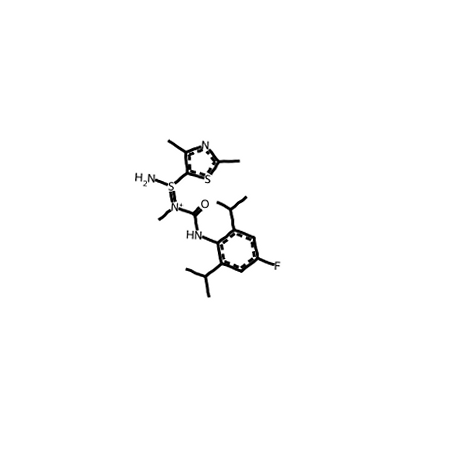 Cc1nc(C)c(/S(N)=[N+](/C)C(=O)Nc2c(C(C)C)cc(F)cc2C(C)C)s1